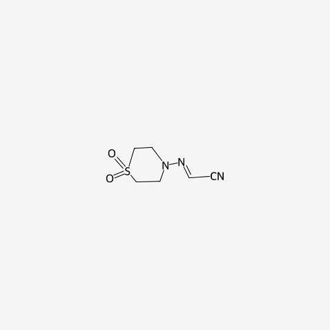 N#CC=NN1CCS(=O)(=O)CC1